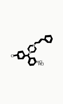 Cl.Cl.Clc1ccc(C(c2ccccc2)N2CCN(C/C=C/c3ccccc3)CC2)cc1